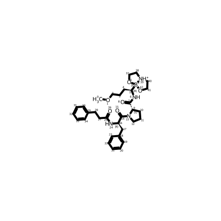 COCCC[C@H](NC(=O)[C@@H]1CCCN1C(=O)[C@@H](Cc1ccccc1)NC(=O)CCc1ccccc1)[B-]12OCC[NH+]1CCO2